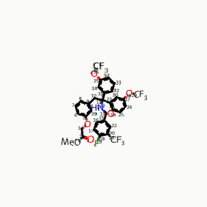 COC(=O)COc1cccc(CC(NC(=O)c2ccc(F)c(C(F)(F)F)c2)(c2cccc(OC(F)(F)F)c2)c2cccc(OC(F)(F)F)c2)c1